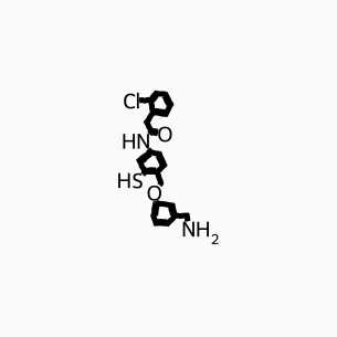 NCc1cccc(OCc2ccc(NC(=O)Cc3ccccc3Cl)cc2S)c1